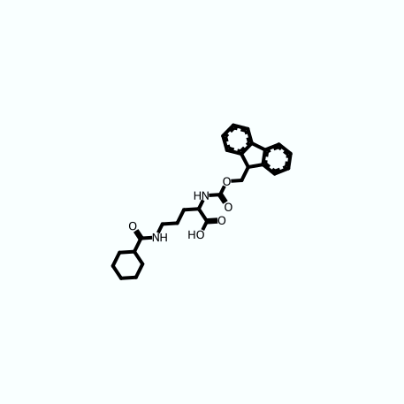 O=C(NC(CCCNC(=O)C1CCCCC1)C(=O)O)OCC1c2ccccc2-c2ccccc21